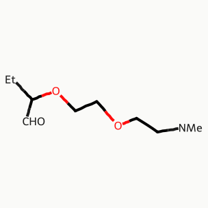 CCC(C=O)OCCOCCNC